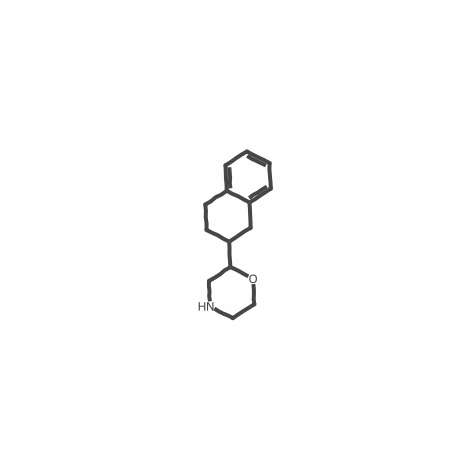 c1ccc2c(c1)CCC(C1CNCCO1)C2